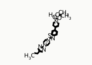 CCCc1cnc(N2CCN(c3nc4ccc(C5=CCN(C(=O)OC(C)(C)C)CC5)cc4s3)CC2)nc1